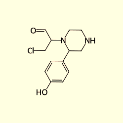 O=CC(CCl)N1CCNCC1c1ccc(O)cc1